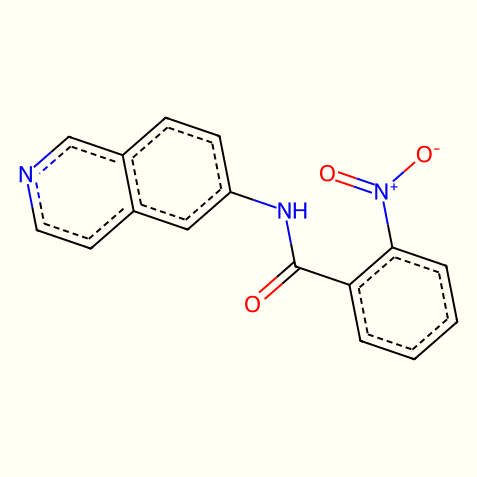 O=C(Nc1ccc2cnccc2c1)c1ccccc1[N+](=O)[O-]